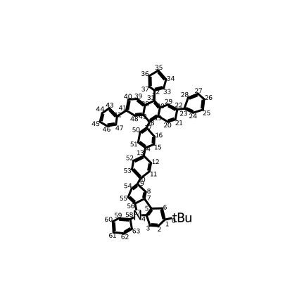 CC(C)(C)c1ccc2c(c1)c1cc(-c3ccc(-c4ccc(-c5c6ccc(-c7ccccc7)cc6c(-c6ccccc6)c6ccc(-c7ccccc7)cc56)cc4)cc3)ccc1n2-c1ccccc1